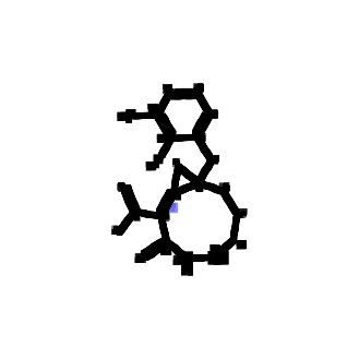 C=C(C)/C1=C2\CC2(Cc2cccc(F)c2F)CCCNNC1=C